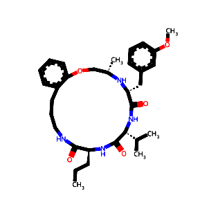 CCC[C@@H]1NC(=O)[C@@H](C(C)C)NC(=O)[C@@H](Cc2cccc(OC)c2)N[C@@H](C)COc2ccccc2CCCNC1=O